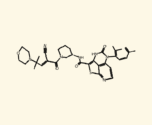 C=C(C)/C=C\C(=C(C)C)N1C(=O)Nc2c(C(=O)N[C@@H]3CCCN(C(=O)/C(C#N)=C/C(C)(C)N4CCOCC4)C3)sc3nccc1c23